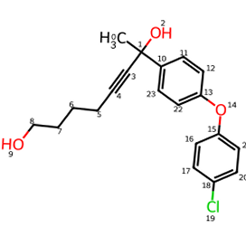 CC(O)(C#CCCCCO)c1ccc(Oc2ccc(Cl)cc2)cc1